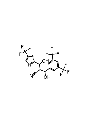 N#CC(C(O)c1cc(C(F)(F)F)cc(C(F)(F)F)c1)C(O)c1ncc(C(F)(F)F)s1